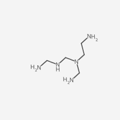 NCCN(CN)CNCN